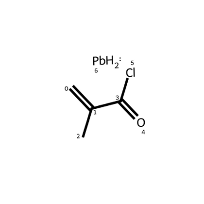 C=C(C)C(=O)Cl.[PbH2]